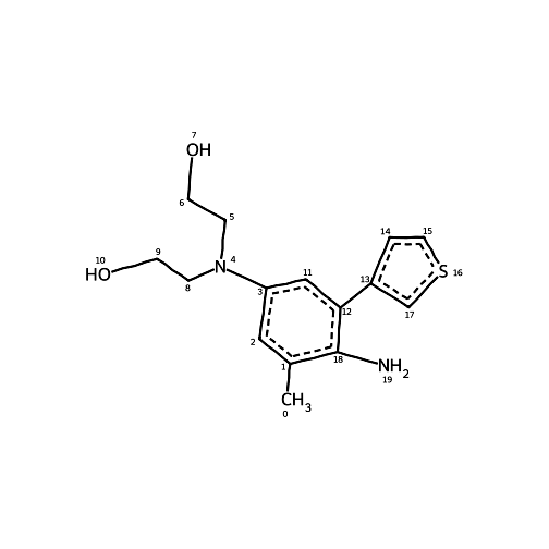 Cc1cc(N(CCO)CCO)cc(-c2ccsc2)c1N